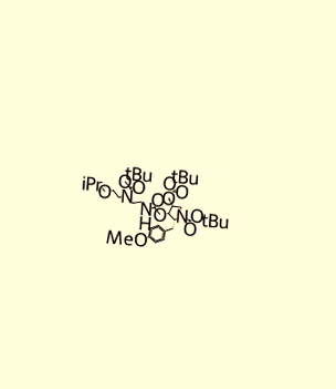 COc1ccc(C[C@@H]2[C@H](OC(=O)NCCN(CCOC(C)C)C(=O)OC(C)(C)C)[C@@H](OC(=O)OC(C)(C)C)CN2C(=O)OC(C)(C)C)cc1